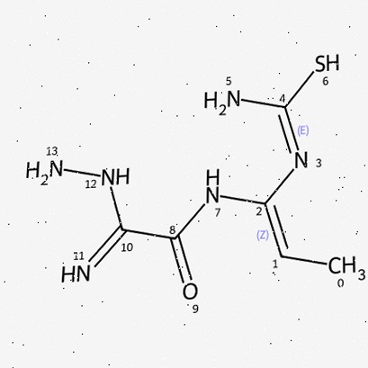 C/C=C(\N=C(/N)S)NC(=O)C(=N)NN